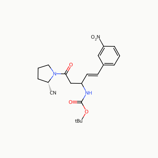 CC(C)(C)OC(=O)NC(C=Cc1cccc([N+](=O)[O-])c1)CC(=O)N1CCC[C@H]1C#N